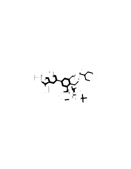 CC(C)(C)OC(=O)N1CCOC[C@]1(c1cc(-c2cnc3[nH]cc(Cl)c3c2)cc2c1CCN(C(=O)C1CCOCC1)C2)C(C)(C)C